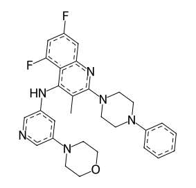 Cc1c(N2CCN(c3ccccc3)CC2)nc2cc(F)cc(F)c2c1Nc1cncc(N2CCOCC2)c1